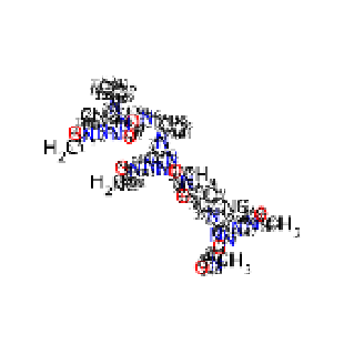 C=CC(=O)N1CCN(c2nc(OC[C@@H]3CN(Cc4cc(N5CCc6c(nc(OC[C@@H]7COC(c8ccc(N9CCc%10c(nc(OC[C@H]%11COCCN%11C)nc%10N%10CCN(C(=O)C=C)C(CC#N)C%10)C9)c9ccccc89)CN7C)nc6N6CCN(C(=O)C=C)C(CC#N)C6)C5)c5ccccc5c4)CCO3)nc3c2CCN(c2cccc4ccccc24)C3)CC1CC#N